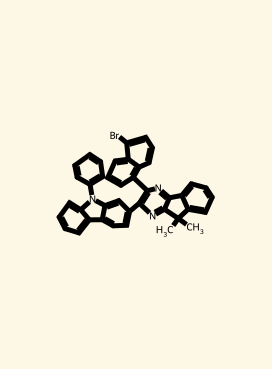 CC1(C)c2ccccc2-c2nc(-c3cccc4c(Br)cccc34)c(-c3ccc4c5ccccc5n(-c5ccccc5)c4c3)nc21